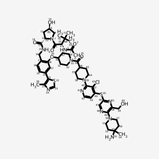 CC(=O)N[C@H](C(=O)N1C[C@H](O)C[C@H]1C(=O)NCc1ccc(-c2scnc2C)cc1OC1CCN(C(=O)C2CCN(c3nccc(Sc4cnc(N5CCC(C)(N)CC5)c(CO)n4)c3Cl)CC2)CC1)C(C)(C)C